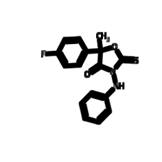 CC1(c2ccc(F)cc2)OC(=S)N(Nc2ccccc2)C1=O